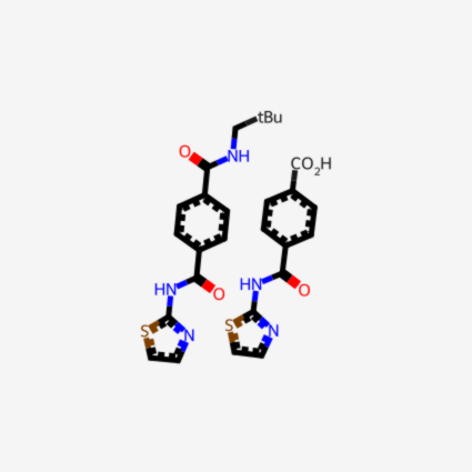 CC(C)(C)CNC(=O)c1ccc(C(=O)Nc2nccs2)cc1.O=C(O)c1ccc(C(=O)Nc2nccs2)cc1